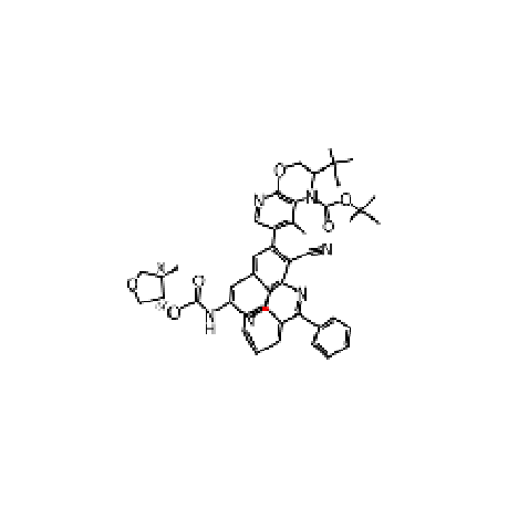 Cc1c(-c2cc3cc(NC(=O)O[C@@H]4COC[C@H]4C)ncc3c(N=C(c3ccccc3)c3ccccc3)c2C#N)cnc2c1N(C(=O)OC(C)(C)C)C(C(C)(C)C)CO2